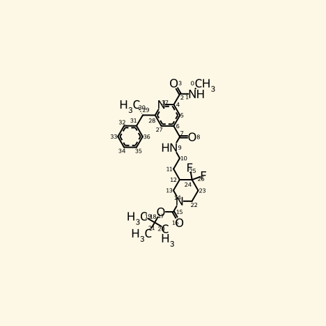 CNC(=O)c1cc(C(=O)NCCC2CN(C(=O)OC(C)(C)C)CCC2(F)F)cc([C@@H](C)c2ccccc2)n1